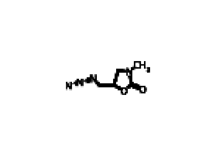 CN1CC(CN=[N+]=[N-])OC1=O